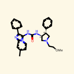 COCCN1C[C@@H](NC(=O)Nc2c(-c3ccccc3)nc3cc(C)ccn23)[C@H](c2ccccc2)C1